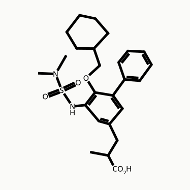 CC(Cc1cc(NS(=O)(=O)N(C)C)c(OCC2CCCCC2)c(-c2ccccc2)c1)C(=O)O